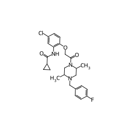 CC1CN(C(=O)COc2ccc(Cl)cc2NC(=O)C2CC2)C(C)CN1Cc1ccc(F)cc1